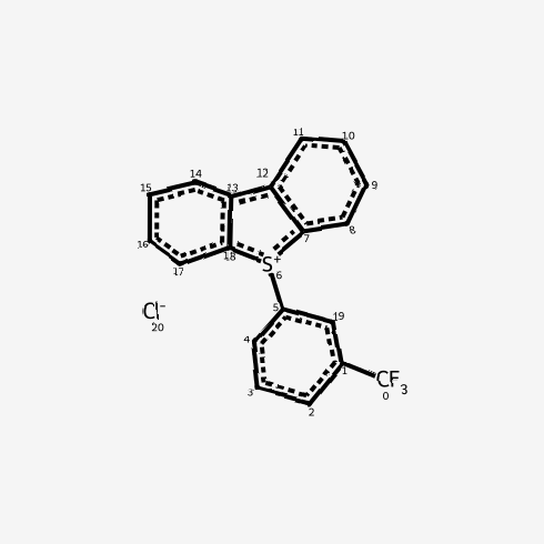 FC(F)(F)c1cccc(-[s+]2c3ccccc3c3ccccc32)c1.[Cl-]